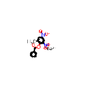 Cc1cc([N+](=O)[O-])cc([N+](=O)[O-])c1OC(=O)c1ccccc1.[Ba+2]